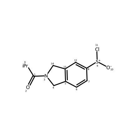 CC(C)C(=O)N1Cc2ccc([S+]([O-])Cl)cc2C1